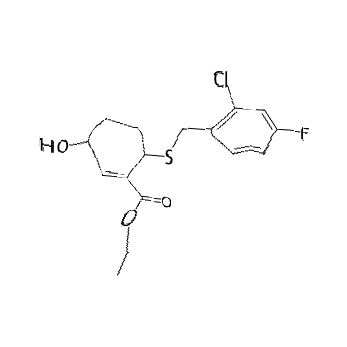 CCOC(=O)C1=CC(O)CCC1SCc1ccc(F)cc1Cl